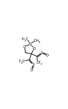 C[Si]1(C)OCC(C(=S=O)C(F)(F)F)(C(=S=O)C(F)(F)F)O1